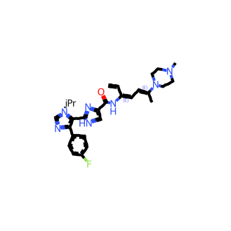 C=C/C(=C\C=C(/C)N1CCN(C)CC1)NC(=O)c1c[nH]c(-c2c(-c3ccc(F)cc3)ncn2C(C)C)n1